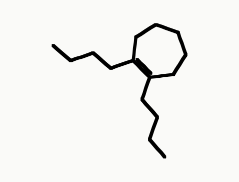 CCCCC1=C(CCCC)CCCCC1